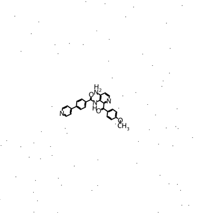 COc1ccc(C(=O)c2nccc(N)c2NC(=O)c2ccc(-c3ccncc3)cc2)cc1